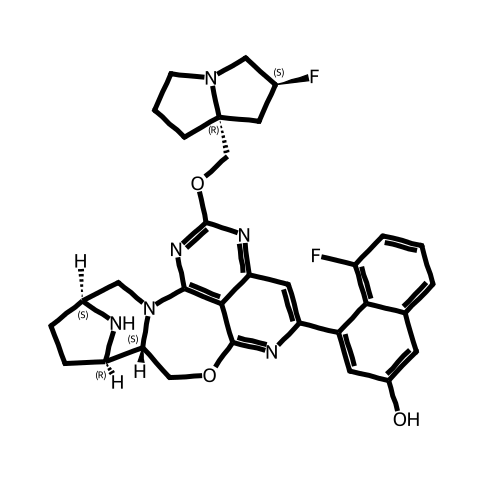 Oc1cc(-c2cc3nc(OC[C@]45CCCN4C[C@@H](F)C5)nc4c3c(n2)OC[C@@H]2[C@H]3CC[C@@H](CN42)N3)c2c(F)cccc2c1